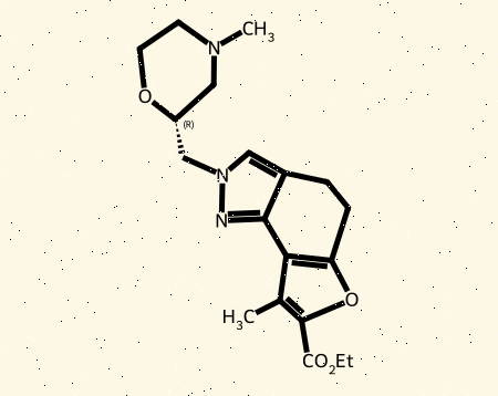 CCOC(=O)c1oc2c(c1C)-c1nn(C[C@H]3CN(C)CCO3)cc1CC2